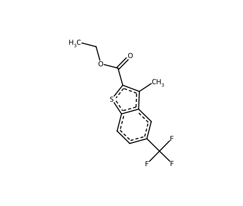 CCOC(=O)c1sc2ccc(C(F)(F)F)cc2c1C